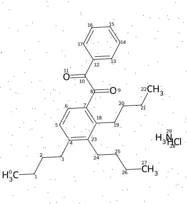 CCCCc1ccc(C(=O)C(=O)c2ccccc2)c(CCCC)c1CCCC.Cl.N